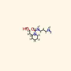 CN(C)CCCN(C)C(=O)N1CCCCC1CCO